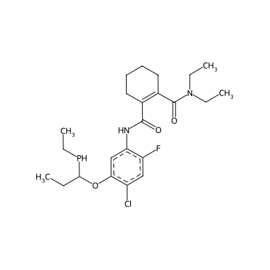 CCPC(CC)Oc1cc(NC(=O)C2=C(C(=O)N(CC)CC)CCCC2)c(F)cc1Cl